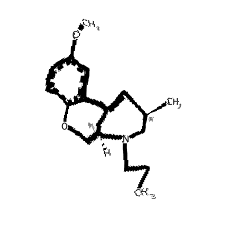 CCCN1C[C@H](C)C=C2c3cc(OC)ccc3OC[C@@H]21